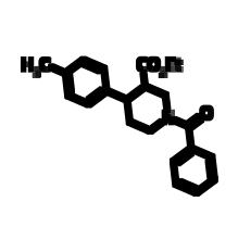 CCOC(=O)C1CN(C(=O)c2ccccc2)CCC1c1ccc(C)cc1